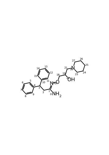 NC(CC(c1ccccc1)c1ccccc1)=NOCC(O)CN1CCCCC1